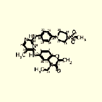 C=C1Oc2ccc(Nc3nc(Nc4ccc(N5CCN(S(C)(=O)=O)CC5)cc4)ncc3C)cc2N(CC)C1=O